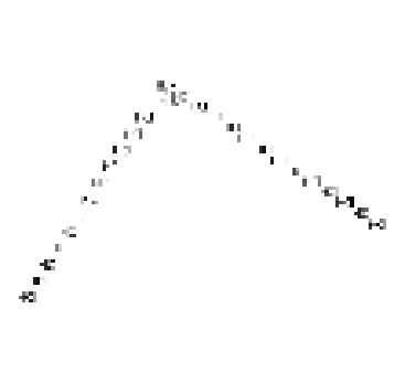 Cl.Cl.Cl.Cl.Cl.Cl.Cl.Cl.Cl.Cl.Cl.Cl.Cl.Cl.Cl.Cl.Cl.Cl.Cl.Cl.Cl.Cl.Cl.Cl.Cl.N.N